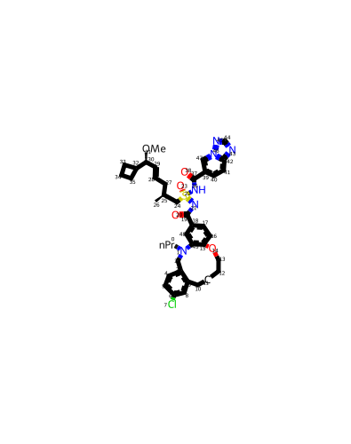 CCCN1Cc2ccc(Cl)cc2CCCCOc2ccc(C(=O)N=S(=O)(C[C@@H](C)C/C=C/[C@H](OC)C3CCC3)NC(=O)c3ccc4ncnn4c3)cc21